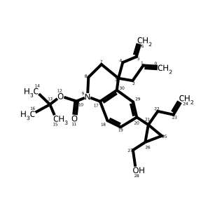 C=CCC1(CC=C)CCN(C(=O)OC(C)(C)C)c2ccc(C3(CC=C)CC3CO)cc21